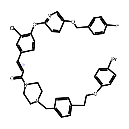 CC(C)c1ccc(OCCc2ccc(CN3CCN(C(=O)/C=C/c4ccc(Oc5ccc(OCc6ccc(F)cc6)cn5)c(Cl)c4)CC3)cc2)cc1